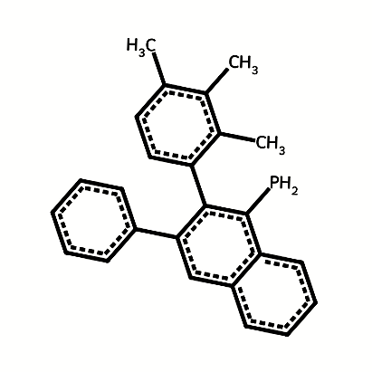 Cc1ccc(-c2c(-c3ccccc3)cc3ccccc3c2P)c(C)c1C